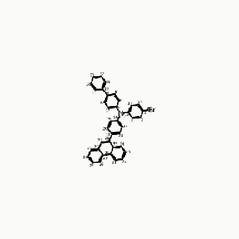 Brc1ccc(N(c2ccc(-c3ccccc3)cc2)c2ccc(-c3cc4ccccc4c4ccccc34)cc2)cc1